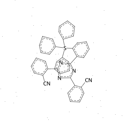 N#Cc1ccccc1-c1nc(-c2ccccc2C#N)nc(-c2ccccc2S(c2ccccc2)(c2ccccc2)c2ccccc2)n1